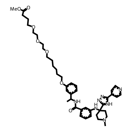 COC(=O)CCCOCCOCCOCCCCCCOc1cccc(C(C)NC(=O)c2cccc(NC3(c4nnc(-c5ccncc5)[nH]4)CCN(C)CC3)c2)c1